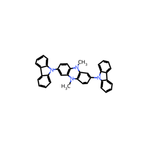 CN1c2ccc(-n3c4ccccc4c4ccccc43)cc2N(C)c2ccc(-n3c4ccccc4c4ccccc43)cc21